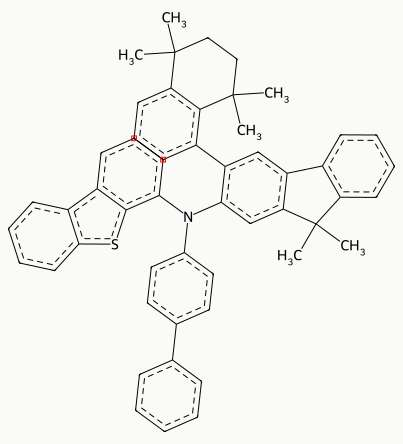 CC1(C)CCC(C)(C)c2c(-c3cc4c(cc3N(c3ccc(-c5ccccc5)cc3)c3cccc5c3sc3ccccc35)C(C)(C)c3ccccc3-4)cccc21